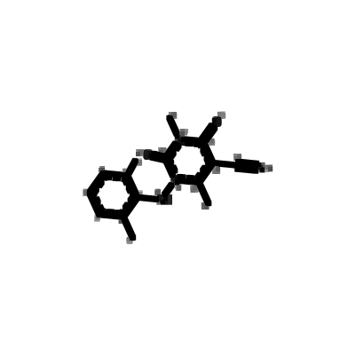 Cc1cccc(C)c1Nn1c(C)c(C#N)c(=O)n(C)c1=O